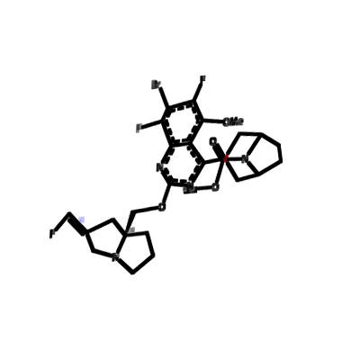 COc1c(F)c(Br)c(F)c2nc(OC[C@@]34CCCN3C/C(=C\F)C4)nc(N3CC4CCC(C3)N4C(=O)OC(C)(C)C)c12